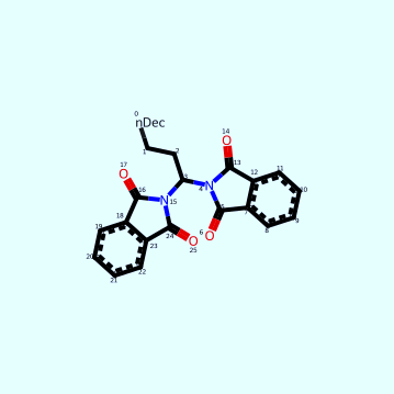 CCCCCCCCCCCCC(N1C(=O)c2ccccc2C1=O)N1C(=O)c2ccccc2C1=O